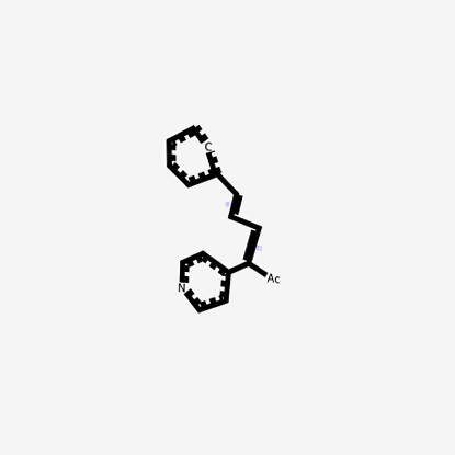 CC(=O)/C(=C/C=C/c1ccccc1)c1ccncc1